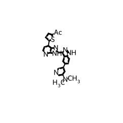 CC(=O)c1ccc(-c2ccnc3[nH]c(-c4n[nH]c5ccc(-c6cncc(N(C)C)c6)cc45)nc23)s1